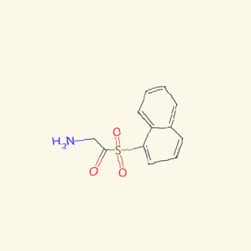 NCC(=O)S(=O)(=O)c1cccc2ccccc12